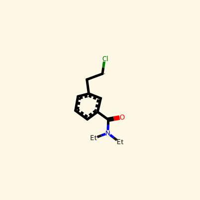 CCN(CC)C(=O)c1cccc(C[CH]Cl)c1